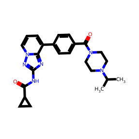 CC(C)N1CCN(C(=O)c2ccc(-c3cccn4nc(NC(=O)C5CC5)nc34)cc2)CC1